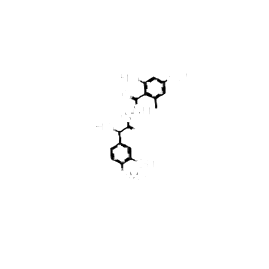 COc1ccc(C(O)C(=O)NNC(=O)c2c(C)cc(O)cc2O)cc1O